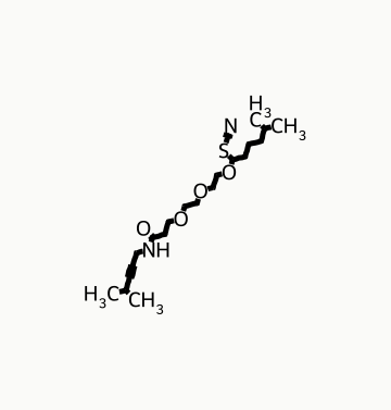 CC(C)C#CCNC(=O)CCOCCOCCOC(CCCC(C)C)SC#N